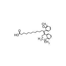 CCC(=C(CCCCCCCCCCC(=O)O)c1ccccc1OC)c1ccccc1OC